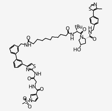 Cc1ncsc1-c1ccc(CNC(=O)[C@@H]2C[C@@H](O)CN2C(=O)[C@@H](NC(=O)CCCCCCCCCC(=O)NCc2cccc(-c3cccc(-c4csc(NC(=O)CNC(=O)c5ccn(S(C)(=O)=O)c5)n4)c3)c2)C(C)(C)C)cc1